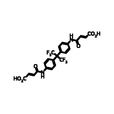 O=C(O)/C=C/C(=O)Nc1ccc(C(c2ccc(NC(=O)/C=C/C(=O)O)cc2)(C(F)(F)F)C(F)(F)F)cc1